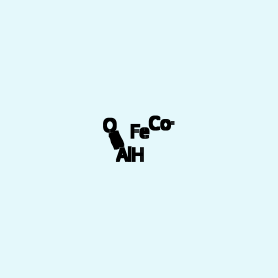 [Co].[Fe].[O]=[AlH]